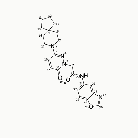 O=C(Cn1nc(N2CCC3(CCCC3)CC2)ccc1=O)Nc1ccc2ocnc2c1